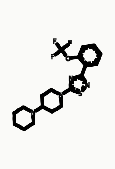 FC(F)(F)Oc1ccccc1-c1nsc(N2CCC(N3CCCCC3)CC2)n1